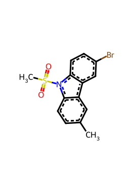 Cc1ccc2c(c1)c1cc(Br)ccc1n2S(C)(=O)=O